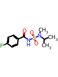 CC(C)N(C)S(=O)(=O)NC(=O)c1ccc(F)cc1